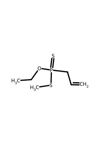 C=CCP(=S)(OCC)SC